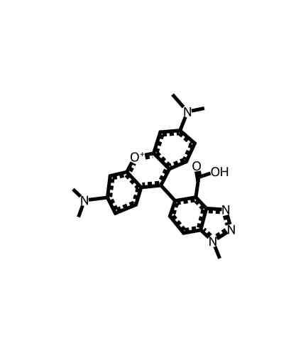 CN(C)c1ccc2c(-c3ccc4c(nnn4C)c3C(=O)O)c3ccc(N(C)C)cc3[o+]c2c1